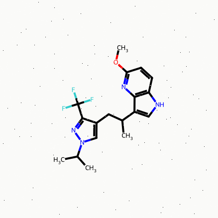 COc1ccc2[nH]cc(C(C)Cc3cn(C(C)C)nc3C(F)(F)F)c2n1